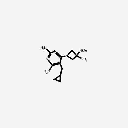 CNC1(C)CN(c2nc(N)nc(N)c2CC2CC2)C1